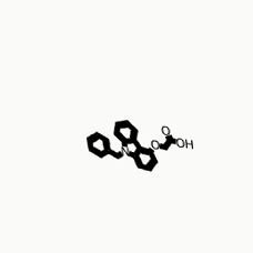 O=C(O)COc1cccc2c1c1ccccc1n2Cc1ccccc1